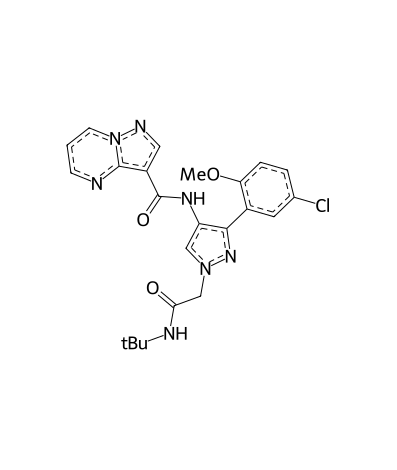 COc1ccc(Cl)cc1-c1nn(CC(=O)NC(C)(C)C)cc1NC(=O)c1cnn2cccnc12